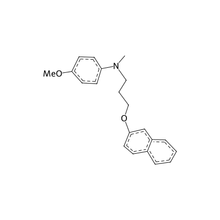 COc1ccc(N(C)CCCOc2ccc3ccccc3c2)cc1